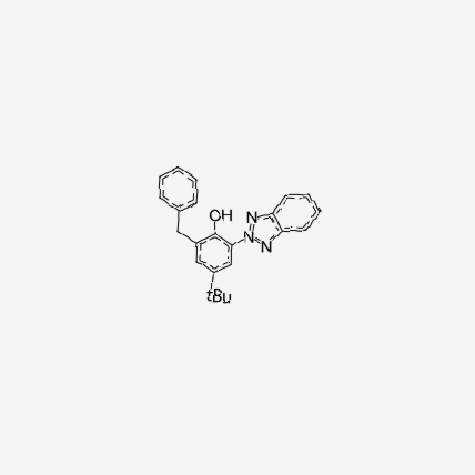 CC(C)(C)c1cc(Cc2ccccc2)c(O)c(-n2nc3ccccc3n2)c1